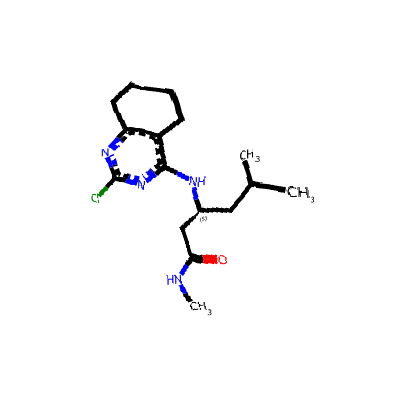 CNC(=O)C[C@H](CC(C)C)Nc1nc(Cl)nc2c1CCCC2